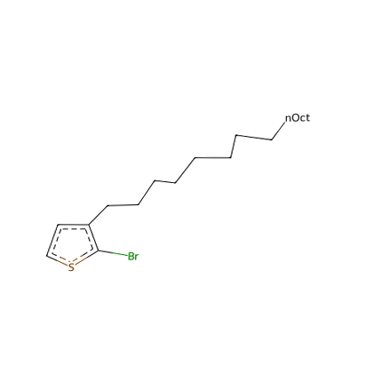 CCCCCCCCCCCCCCCCc1ccsc1Br